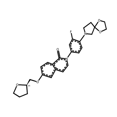 O=c1c2ccc(OC[C@H]3CCCO3)cc2ccn1-c1ccc(N2CCC3(C2)OCCO3)c(F)c1